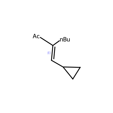 CCCC/C(=C\C1CC1)C(C)=O